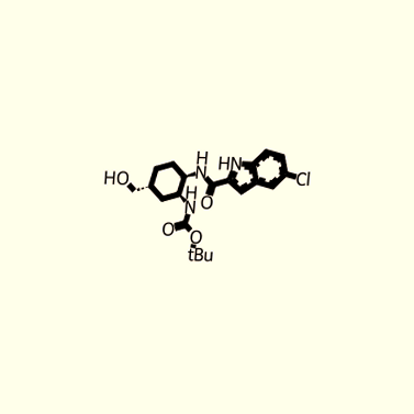 CC(C)(C)OC(=O)N[C@H]1C[C@H](CO)CC[C@H]1NC(=O)c1cc2cc(Cl)ccc2[nH]1